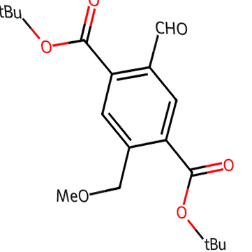 COCc1cc(C(=O)OC(C)(C)C)c(C=O)cc1C(=O)OC(C)(C)C